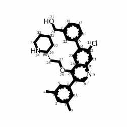 Cc1cc(C)cc(-c2cnc3cc(Cl)c(-c4cccc(CO)c4)cc3c2OCC[C@H]2CCCCN2)c1